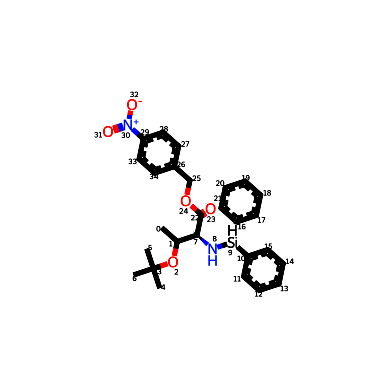 CC(OC(C)(C)C)[C@H](N[SiH](c1ccccc1)c1ccccc1)C(=O)OCc1ccc([N+](=O)[O-])cc1